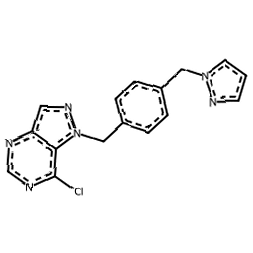 Clc1ncnc2cnn(Cc3ccc(Cn4cccn4)cc3)c12